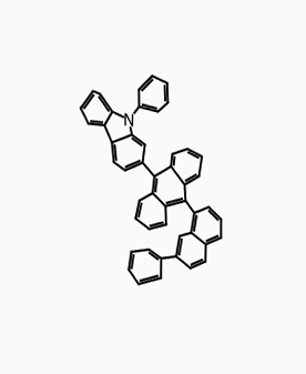 c1ccc(-c2ccc3cccc(-c4c5ccccc5c(-c5ccc6c7ccccc7n(-c7ccccc7)c6c5)c5ccccc45)c3c2)cc1